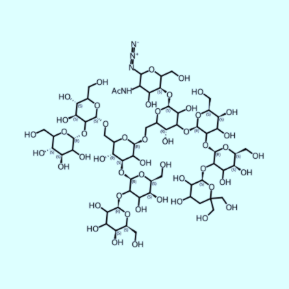 CC(=O)NC1C(N=[N+]=[N-])OC(CO)[C@@H](O[C@@H]2OC(CO[C@@H]3OC(CO[C@H]4OC(CO)[C@@H](O)[C@H](O)C4O[C@H]4OC(CO)[C@@H](O)[C@H](O)C4O)[C@@H](O)[C@H](O[C@H]4O[C@@H](CO)[C@@H](O)C(O)C4O[C@H]4O[C@@H](CO)[C@@H](O)C(O)C4O)C3O)[C@@H](O)C(O[C@H]3O[C@@H](CO)[C@@H](O)C(O)C3O[C@H]3O[C@@H](CO)[C@@H](O)C(O)C3O[C@H]3OC(CO)(CO)CC(O)C3O)C2O)C1O